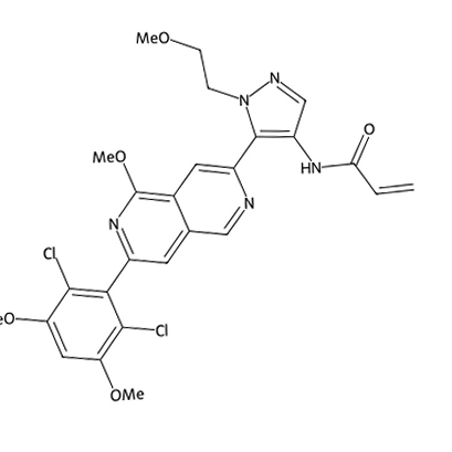 C=CC(=O)Nc1cnn(CCOC)c1-c1cc2c(OC)nc(-c3c(Cl)c(OC)cc(OC)c3Cl)cc2cn1